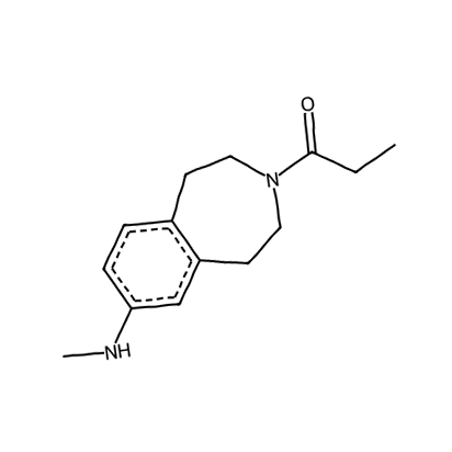 CCC(=O)N1CCc2ccc(NC)cc2CC1